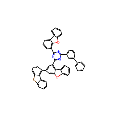 c1ccc(-c2cccc(-c3nc(-c4cccc5c4oc4ccccc45)nc(-c4cc(-c5cccc6sc7ccccc7c56)cc5oc6ccccc6c45)n3)c2)cc1